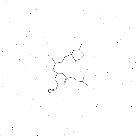 CC(C)CCC1=CC(C=O)CC(CC(C)CCC2CCCC(C)C2)C1